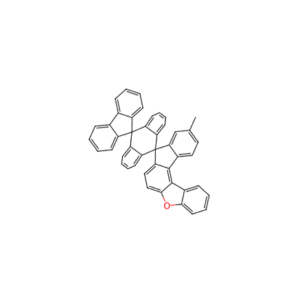 Cc1ccc2c(c1)C1(c3ccccc3C3(c4ccccc4-c4ccccc43)c3ccccc31)c1ccc3oc4ccccc4c3c1-2